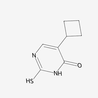 O=c1[nH]c(S)ncc1C1CCC1